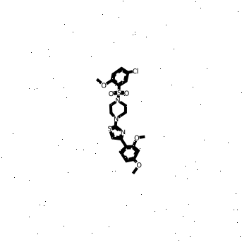 COc1ccc(-c2csc(N3CCN(S(=O)(=O)c4cc(Cl)ccc4OC)CC3)n2)c(OC)c1